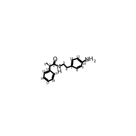 C[C@@H](C(=O)NCCc1ccc(N)cc1)c1ccccc1